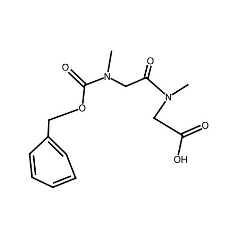 CN(CC(=O)O)C(=O)CN(C)C(=O)OCc1ccccc1